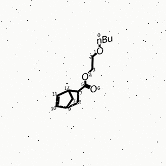 CCCCOCCOC(=O)C1CC2C=CC1C2